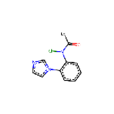 CCC(=O)N(Cl)c1ccccc1-n1ccnc1